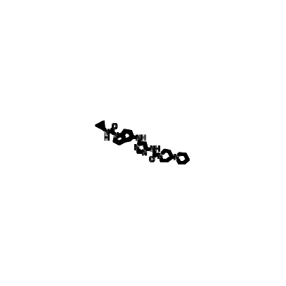 O=C(Nc1cc(Nc2ccc3c(ccn3C(=O)NC3CC3)c2)ncn1)N1CCC(N2CCCCC2)CC1